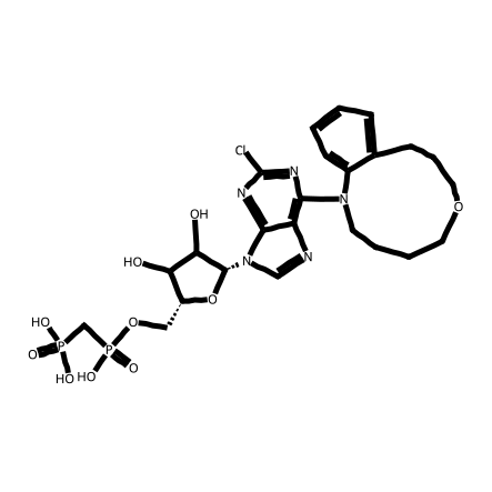 O=P(O)(O)CP(=O)(O)OC[C@H]1O[C@@H](n2cnc3c(N4CCCCOCCCc5ccccc54)nc(Cl)nc32)C(O)C1O